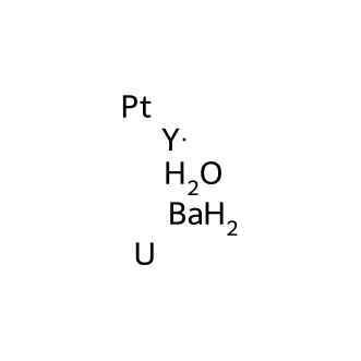 O.[BaH2].[Pt].[U].[Y]